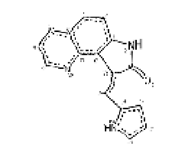 O=C1Nc2ccc3nccnc3c2/C1=C/c1ccc[nH]1